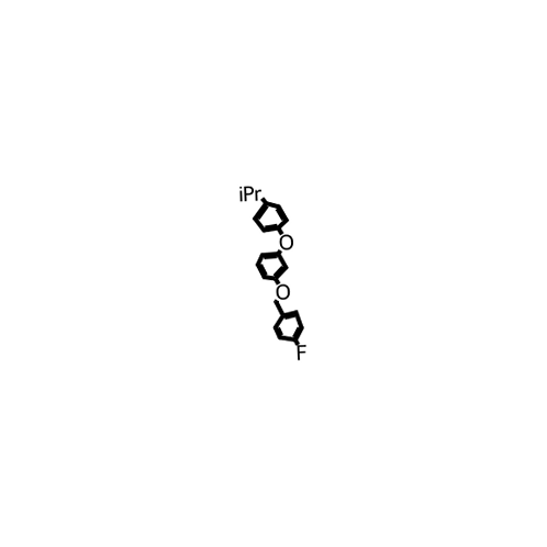 CC(C)c1ccc(Oc2cccc(OCc3ccc(F)cc3)c2)cc1